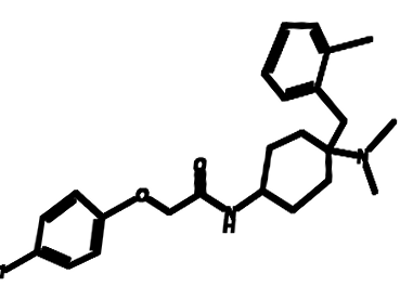 Cc1ccccc1CC1(N(C)C)CCC(NC(=O)COc2ccc(Cl)cc2)CC1